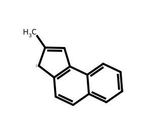 CC1=Cc2c(ccc3ccccc23)[C]1